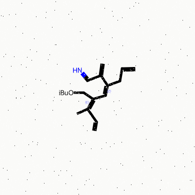 C=CC/C(=C/C(COCC(C)C)=C(/C)C=C)C(=C)C=N